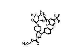 CCOC(=O)N1CC(c2ccc(F)cc2)C2(CCN(C(=O)[C@H](NC(=O)c3cc(C(F)(F)F)ccc3F)C(C)C)CC2)C1